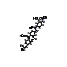 CCCCCCCCCCN1c2ccc(C=C(CC)CC)cc2CCc2cc(/C=C(\CCC)c3ccc(/C=C(/C#N)C(=O)O)cc3)ccc21